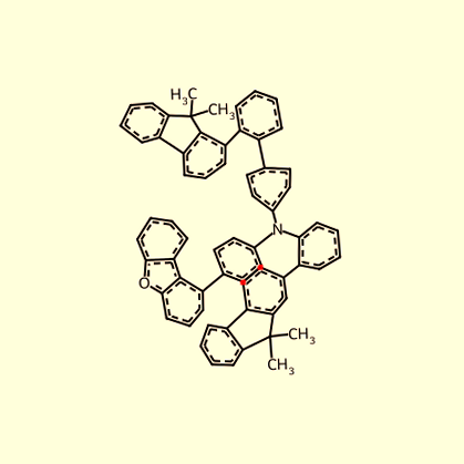 CC1(C)c2ccccc2-c2ccc(-c3ccccc3N(c3ccc(-c4ccccc4-c4cccc5c4C(C)(C)c4ccccc4-5)cc3)c3ccc(-c4cccc5oc6ccccc6c45)cc3)cc21